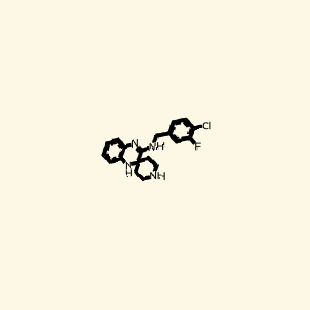 Fc1cc(CNC2=Nc3ccccc3NC23CCNCC3)ccc1Cl